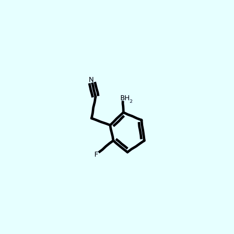 Bc1cccc(F)c1CC#N